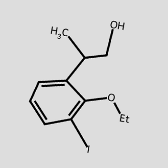 CCOc1c(I)cccc1[C](C)CO